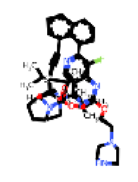 CC(C)[Si](C#Cc1cccc2cccc(-c3ncc4c(N5CC6CCC(C5)N6C(=O)OC(C)(C)C)nc(OCCN5CCNCC5)nc4c3F)c12)(C(C)C)C(C)C